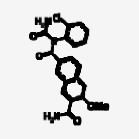 COc1cc2ccc(C(=O)N(C(N)=O)c3ccccc3Cl)cc2cc1C(N)=O